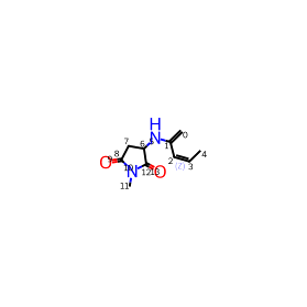 C=C(/C=C\C)NC1CC(=O)N(C)C1=O